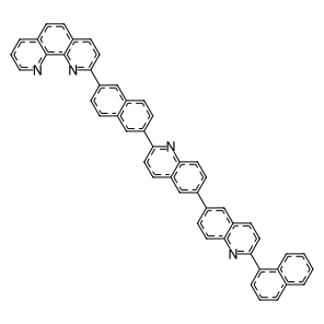 c1ccc2c(-c3ccc4cc(-c5ccc6nc(-c7ccc8cc(-c9ccc%10ccc%11cccnc%11c%10n9)ccc8c7)ccc6c5)ccc4n3)cccc2c1